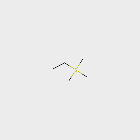 CCS(C)(C)C